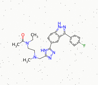 CCN(CCN(C)Cc1nnc(-c2ccc3[nH]nc(-c4ccc(F)cc4)c3c2)[nH]1)C(C)=O